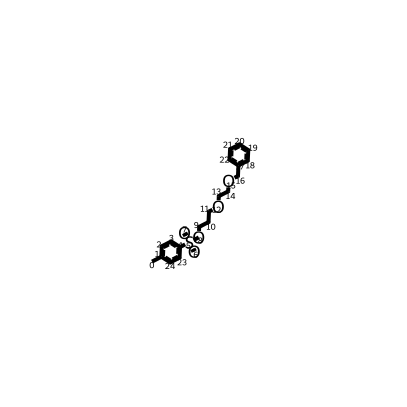 Cc1ccc(S(=O)(=O)OCCCOCCOCc2ccccc2)cc1